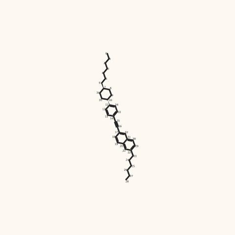 CCCCCCC[C@H]1CC[C@H](c2ccc(C#Cc3ccc4cc(CCCCCC)ccc4c3)cc2)CC1